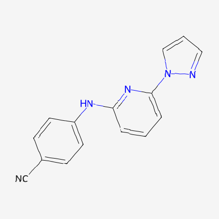 N#Cc1ccc(Nc2cccc(-n3cccn3)n2)cc1